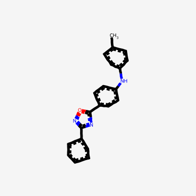 Cc1ccc(Nc2ccc(-c3nc(-c4ccccc4)no3)cc2)cc1